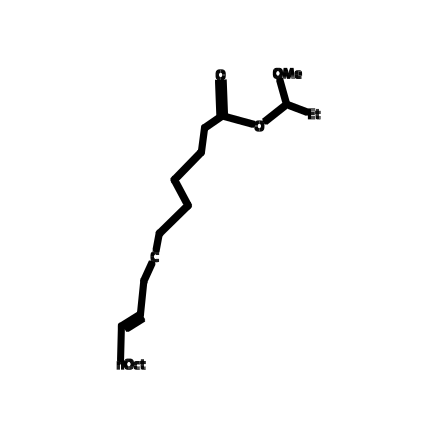 CCCCCCCCC=CCCCCCCCC(=O)OC(CC)OC